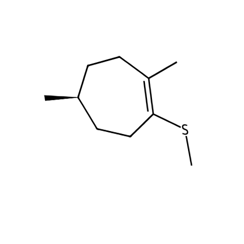 CSC1=C(C)CC[C@H](C)CC1